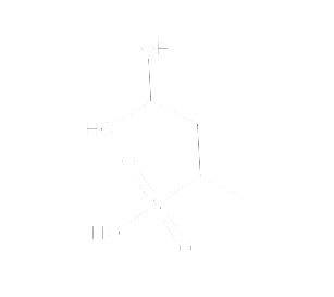 CC(CC(O)O)S(=O)(=O)O